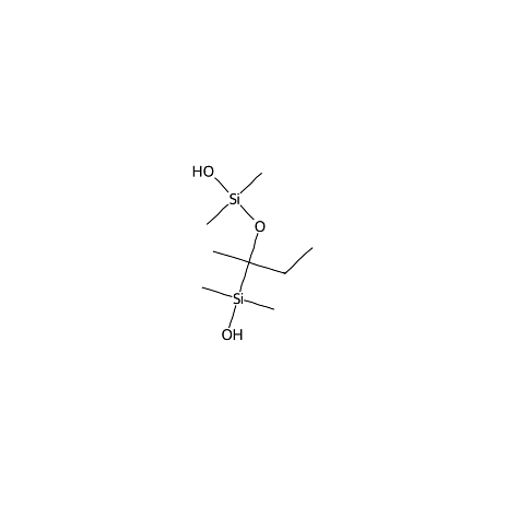 CCC(C)(O[Si](C)(C)O)[Si](C)(C)O